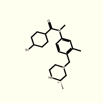 CCC1C[CH]C(C(=O)N(C)c2ccc(CN3CCN[C@@H](C)C3)c(C)c2)CC1